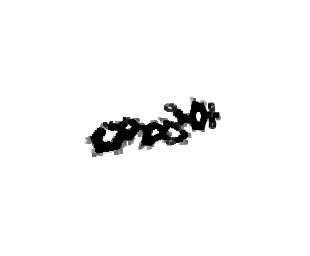 CS(=O)(=O)c1ccc(C(=O)N2CCOc3ccc(-c4cnc5ncccc5c4)cc3C2)cc1